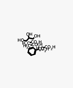 CC(=O)O.CC(=O)O.CC(=O)O.O=C(O)c1ccccc1.OCC(O)CO